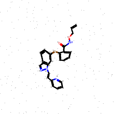 C=CCONC(=O)c1ccccc1Sc1ccc2cnn(C=Cc3ccccn3)c2c1